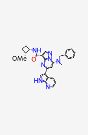 CO[C@@H]1CC[C@H]1NC(=O)c1cnn2c(N(C)Cc3ccccc3)cc(-c3c[nH]c4ncccc34)nc12